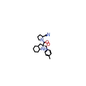 Cc1ccc(C(=O)[C@]2(C(=O)N3CCCC3C#N)CC3CCCCC3N2)cc1